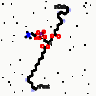 CCCCC/C=C\C/C=C\CCCCCCCCCC(=O)O[C@H](COC(=O)CCC/C=C\C/C=C\C/C=C\CCCCCCCC)COP(=O)(O)OCC[N+](C)(C)C